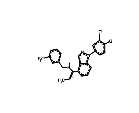 C/C=C(\NCc1cccc(C(F)(F)F)c1)c1cccc2c1cnn2-c1ccc(Cl)c(Cl)c1